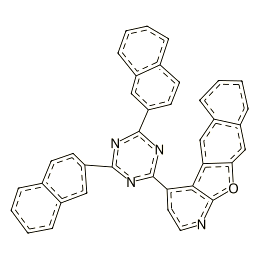 c1ccc2cc(-c3nc(-c4ccc5ccccc5c4)nc(-c4ccnc5oc6cc7ccccc7cc6c45)n3)ccc2c1